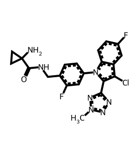 Cn1nnc(-c2c(Cl)c3cc(F)ccc3n2-c2ccc(CNC(=O)C3(N)CC3)c(F)c2)n1